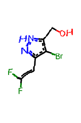 OCc1[nH]nc(C=C(F)F)c1Br